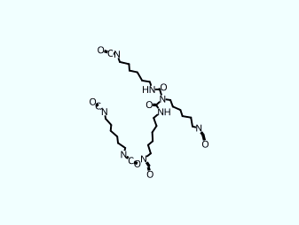 O=C=NCCCCCCN=C=O.O=C=NCCCCCCNC(=O)N(CCCCCCN=C=O)C(=O)NCCCCCCN=C=O